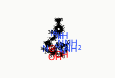 CCN1CNC(N)C2NCN([C@@H]3O[C@H](CN(C)[C@H]4C[C@@H](CCC5Nc6ccc(C7CC7)cc6N5C)C4)[C@@H](O)[C@H]3O)C21